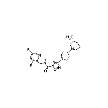 C[C@@H]1CCCN(C2CCN(c3noc(C(=O)NCc4ncc(F)cc4F)n3)CC2)C1